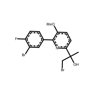 COc1ccc(C(C)(O)CBr)nc1-c1ccc(F)c(Br)c1